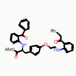 COC(=O)C(Cc1ccc(OCCNc2ccccc2C(=O)CC(C)C)cc1)Nc1ccccc1C(=O)c1ccccc1